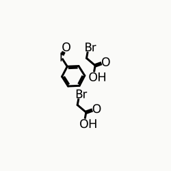 O=C(O)CBr.O=C(O)CBr.O=Ic1ccccc1